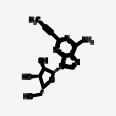 CC#Cc1nc(N)c2ncn([C@@H]3O[C@H](CO)[C@@H](O)[C@H]3O)c2n1